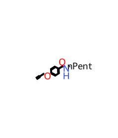 C#CCOc1ccc(C(=O)NCCCCC)cc1